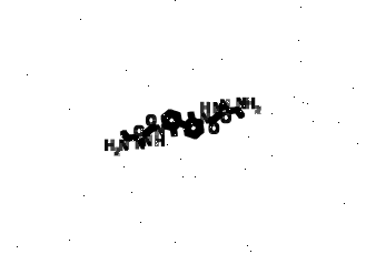 Cc1c(NC(=O)c2nnc(C(C)N)o2)cccc1-c1cccc(NC(=O)c2nnc(C(C)N)o2)c1C